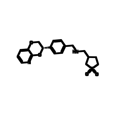 O=S1(=O)CCC(CNCc2ccc([C@H]3COc4cccnc4O3)cc2)C1